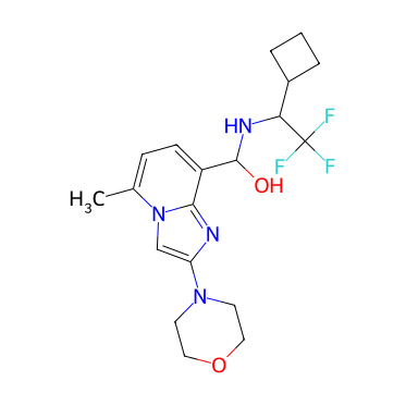 Cc1ccc(C(O)NC(C2CCC2)C(F)(F)F)c2nc(N3CCOCC3)cn12